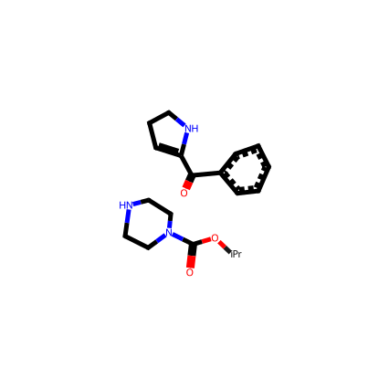 CC(C)OC(=O)N1CCNCC1.O=C(C1=CCCN1)c1ccccc1